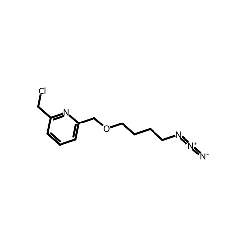 [N-]=[N+]=NCCCCOCc1cccc(CCl)n1